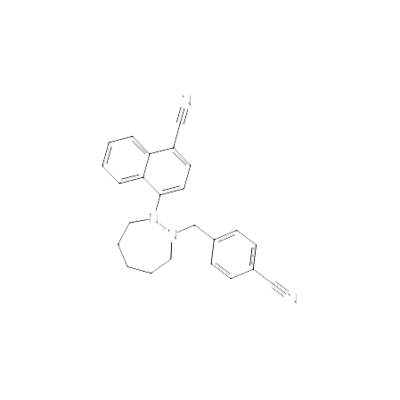 N#Cc1ccc(CN2CCCCCN2c2ccc(C#N)c3ccccc23)cc1